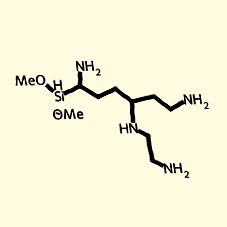 CO[SiH](OC)C(N)CCC(CCN)NCCN